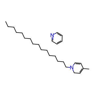 CCCCCCCCCCCCCCCCN1C=CC(C)=CC1.c1ccncc1